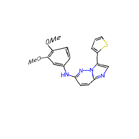 COc1ccc(Nc2ccc3ncc(-c4cccs4)n3n2)cc1OC